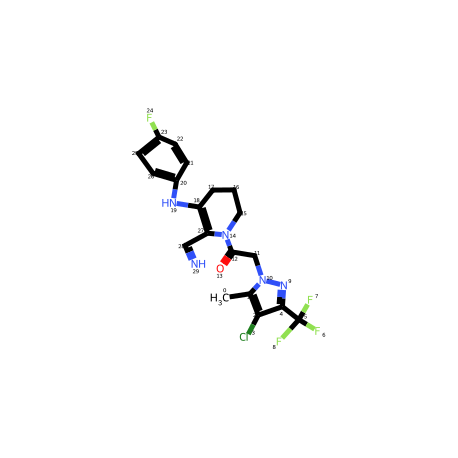 Cc1c(Cl)c(C(F)(F)F)nn1CC(=O)N1CCCC(Nc2ccc(F)cc2)=C1C=N